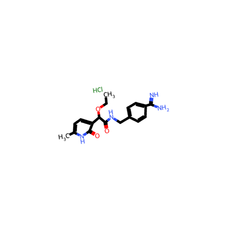 CCOC(C(=O)NCc1ccc(C(=N)N)cc1)c1ccc(C)[nH]c1=O.Cl